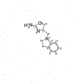 NC1=NC(CN2CCc3ccccc32)CO1